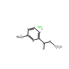 COc1cccc(C(C)CC(=O)O)c1.Cl